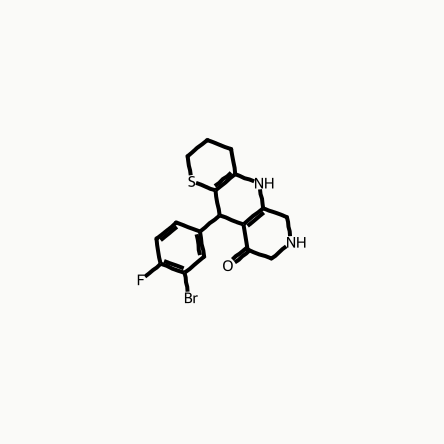 O=C1CNCC2=C1C(c1ccc(F)c(Br)c1)C1=C(CCCS1)N2